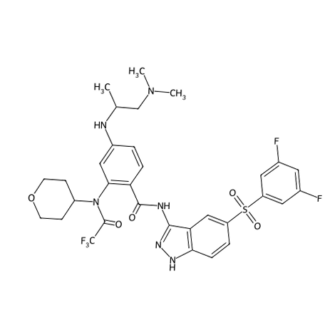 CC(CN(C)C)Nc1ccc(C(=O)Nc2n[nH]c3ccc(S(=O)(=O)c4cc(F)cc(F)c4)cc23)c(N(C(=O)C(F)(F)F)C2CCOCC2)c1